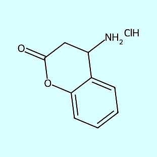 Cl.NC1CC(=O)Oc2ccccc21